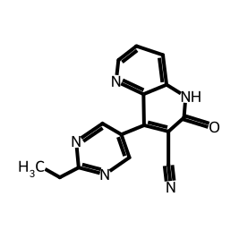 CCc1ncc(-c2c(C#N)c(=O)[nH]c3cccnc23)cn1